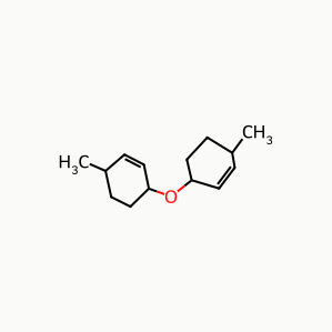 CC1C=CC(OC2C=CC(C)CC2)CC1